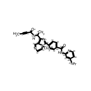 CC#CC(=O)NC(C)C1=C2C=NC=C[N+]2(C)C(c2ccc(C(=O)Nc3cc(CCC)ccn3)cc2)=N1